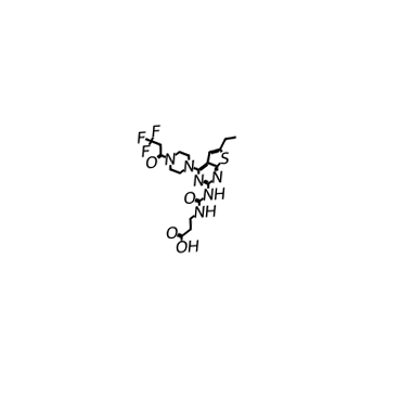 CCc1cc2c(N3CCN(C(=O)CC(F)(F)F)CC3)nc(NC(=O)NCCC(=O)O)nc2s1